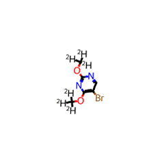 [2H]C([2H])([2H])Oc1ncc(Br)c(OC([2H])([2H])[2H])n1